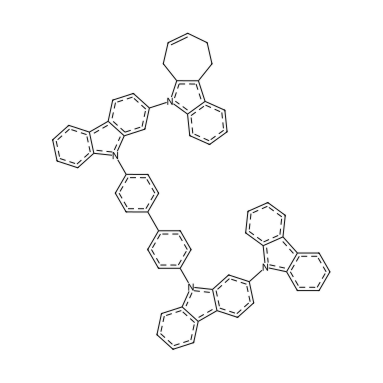 C1=CCc2c(c3ccccc3n2-c2ccc3c4ccccc4n(-c4ccc(-c5ccc(-n6c7ccccc7c7ccc(-n8c9ccccc9c9ccccc98)cc76)cc5)cc4)c3c2)CC1